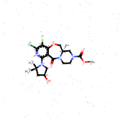 CC(C)(C)OC(=O)N1CCN2C(=O)c3c(N4CC(O)CC4(C)C)nc(Cl)c(F)c3OC[C@H]2C1